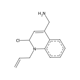 C=CCN1c2ccccc2C(CN)=CC1Cl